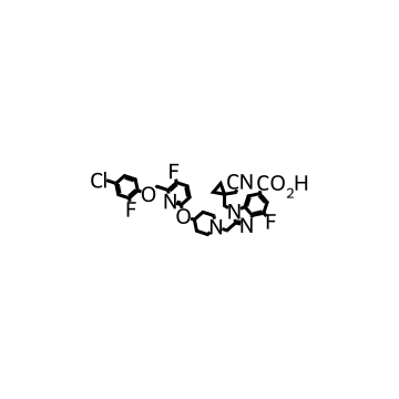 N#CCC1(Cn2c(CN3CCC(Oc4ccc(F)c(COc5ccc(Cl)cc5F)n4)CC3)nc3c(F)cc(C(=O)O)cc32)CC1